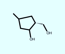 CC1CC(O)[C@@H](CO)C1